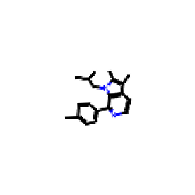 Cc1ccc(-c2nccc3c(C)c(C)n(CC(C)C)c23)cc1